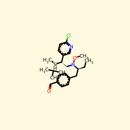 CC[C@@H](Cc1ccc(C=O)cc1)N(C[C@@H](c1ccc(Cl)nc1)[SiH](C)C(C)(C)C)OC